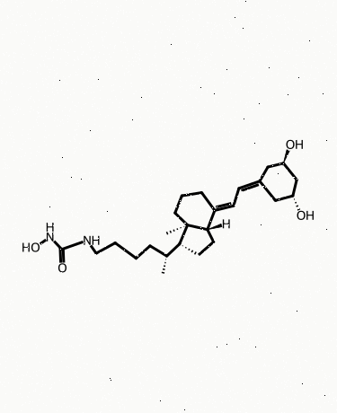 C[C@H](CCCCNC(=O)NO)[C@H]1CC[C@H]2/C(=C/C=C3C[C@@H](O)C[C@H](O)C3)CCC[C@]12C